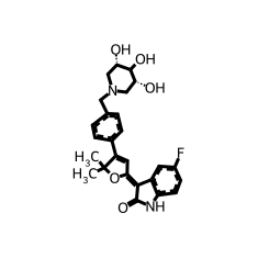 CC1(C)OC(=C2C(=O)Nc3ccc(F)cc32)C=C1c1ccc(CN2C[C@@H](O)C(O)[C@@H](O)C2)cc1